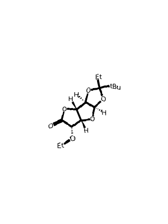 CCO[C@@H]1C(=O)O[C@@H]2[C@H]3OC(CC)(C(C)(C)C)O[C@H]3O[C@@H]21